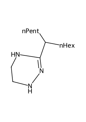 CCCCCCC(CCCCC)C1=NNCCN1